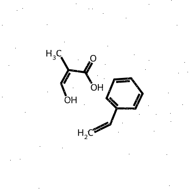 C=Cc1ccccc1.CC(=CO)C(=O)O